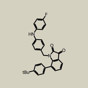 CC(C)(C)c1ccc(-c2cccc3c2N(Cc2ccc(Nc4ccc(F)cc4)cc2)C(=O)C3=O)cc1